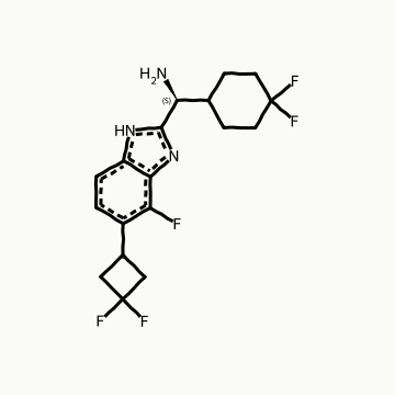 N[C@H](c1nc2c(F)c([C]3CC(F)(F)C3)ccc2[nH]1)C1CCC(F)(F)CC1